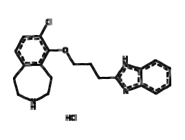 Cl.Clc1ccc2c(c1OCCCc1nc3ccccc3[nH]1)CCNCC2